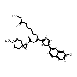 CCC(=O)CCCCC[C@H](NC(=O)[C@H]1CC12CCN(C)CC2)c1ncc(-c2ccc3cnc(Cl)cc3c2)[nH]1